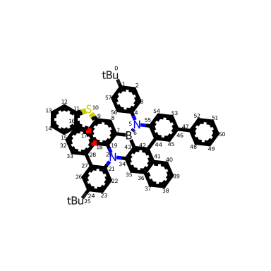 CC(C)(C)c1ccc(N2B3c4cc5sc6ccccc6c5cc4N(c4ccc(C(C)(C)C)cc4-c4ccccc4)c4cc5ccccc5c(c43)-c3cc(-c4ccccc4)ccc32)cc1